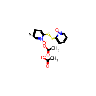 CC(=O)[O-].CC(=O)[O-].[O-][n+]1ccccc1SSc1cccc[n+]1[O-].[Sr+2]